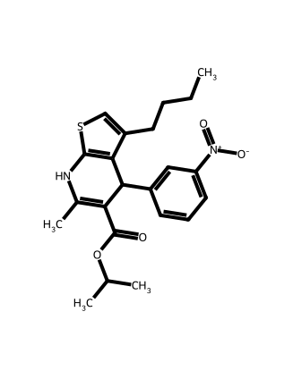 CCCCc1csc2c1C(c1cccc([N+](=O)[O-])c1)C(C(=O)OC(C)C)=C(C)N2